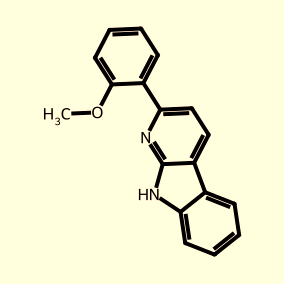 COc1ccccc1-c1ccc2c(n1)[nH]c1ccccc12